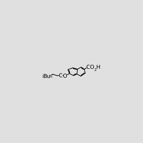 CC[C@H](C)CCCOc1ccc2cc(C(=O)O)ccc2c1